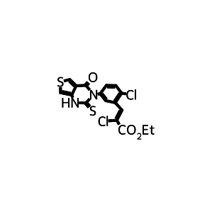 CCOC(=O)C(Cl)=Cc1cc(-n2c(=S)[nH]c3cscc3c2=O)ccc1Cl